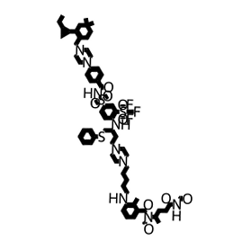 CCC1CC1C1=C(CN2CCN(c3ccc(C(=O)NS(=O)(=O)c4ccc(NC(CCN5CCN(CCCCCNc6cccc(C(=O)N(C=O)C(C)CCC(=O)NC=O)c6C)CC5)CSc5ccccc5)c(S(=O)(=O)C(F)(F)F)c4)cc3)CC2)CCC(C)(C)C1